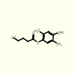 Cc1cc(OC(=O)CCCCl)c(C)cc1C=O